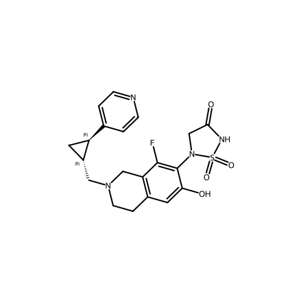 O=C1CN(c2c(O)cc3c(c2F)CN(C[C@@H]2C[C@H]2c2ccncc2)CC3)S(=O)(=O)N1